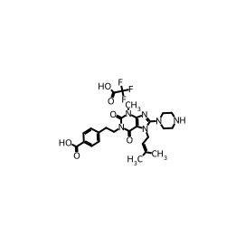 CC(C)=CCn1c(N2CCNCC2)nc2c1c(=O)n(CCc1ccc(C(=O)O)cc1)c(=O)n2C.O=C(O)C(F)(F)F